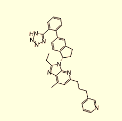 CCc1nc2c(C)cc(CCCc3cccnc3)nc2n1[C@H]1CCc2cc(-c3ccccc3-c3nnn[nH]3)ccc21